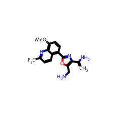 C=C(N)c1nc(-c2ccc(OC)c3nc(C(F)(F)F)ccc23)oc1CN